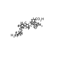 Cc1cc(Cc2nc3ccc(C(=O)O)cc3n2C2COCC2(C)C)c(F)cc1-c1ccc(F)c(OCc2ncc(C(C)(F)F)s2)n1